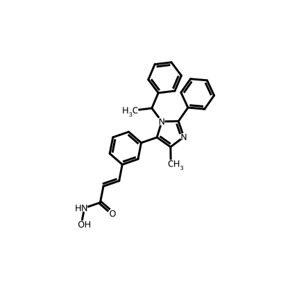 Cc1nc(-c2ccccc2)n(C(C)c2ccccc2)c1-c1cccc(C=CC(=O)NO)c1